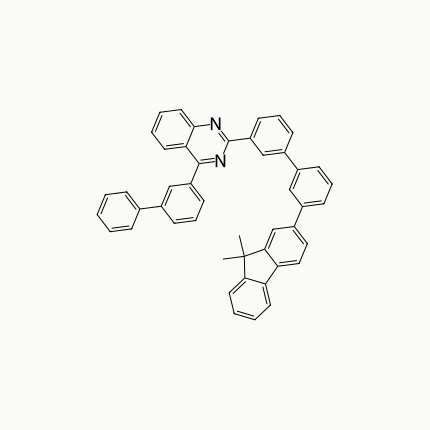 CC1(C)c2ccccc2-c2ccc(-c3cccc(-c4cccc(-c5nc(-c6cccc(-c7ccccc7)c6)c6ccccc6n5)c4)c3)cc21